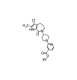 Cc1[nH]c2c(c1Cl)CCCN(C1CCN(c3cc(C(=O)OC(C)C)ccn3)CC1)C2=O